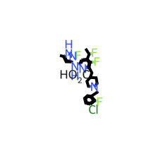 Cc1cc(Nc2nc(CC3(C(=O)O)CCN(Cc4cccc(Cl)c4F)CC3)c(F)c(C(C)F)c2F)n[nH]1